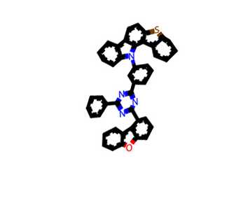 c1ccc(-c2nc(-c3cccc(-n4c5ccccc5c5ccc6sc7ccccc7c6c54)c3)nc(-c3cccc4oc5ccccc5c34)n2)cc1